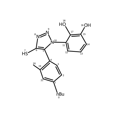 CCCCc1ccc(-c2c(S)nnn2-c2cccc(O)c2O)c(C)c1